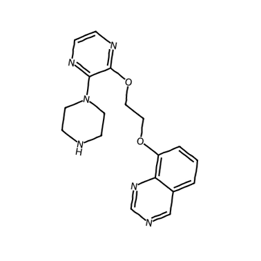 c1cc(OCCOc2nccnc2N2CCNCC2)c2ncncc2c1